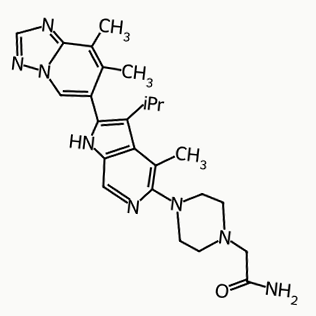 Cc1c(-c2[nH]c3cnc(N4CCN(CC(N)=O)CC4)c(C)c3c2C(C)C)cn2ncnc2c1C